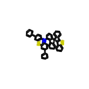 c1ccc(-c2ccc3c(c2)Sc2cc(-c4ccccc4)ccc2N3c2cccc3c2-c2ccccc2C32c3ccccc3-c3sc4ccccc4c32)cc1